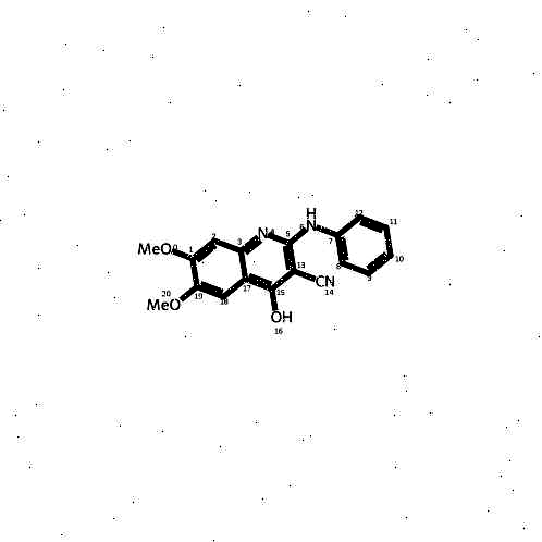 COc1cc2nc(Nc3ccccc3)c(C#N)c(O)c2cc1OC